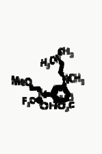 COCCN(C(=O)C(F)(F)F)c1cc(N(C)CCN(C)C)ccc1C(=O)O.Cl